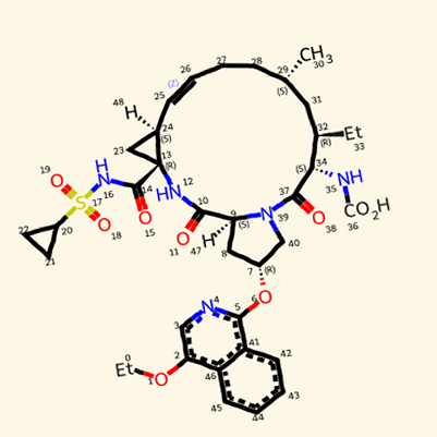 CCOc1cnc(O[C@@H]2C[C@H]3C(=O)N[C@]4(C(=O)NS(=O)(=O)C5CC5)C[C@H]4/C=C\CC[C@H](C)C[C@@H](CC)[C@H](NC(=O)O)C(=O)N3C2)c2ccccc12